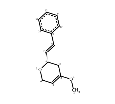 COC1=CCO[C@H](/C=C/c2ccccc2)C1